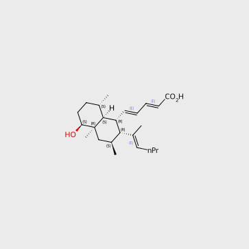 CCC/C=C(\C)[C@H]1[C@@H](/C=C/C=C/C(=O)O)[C@@H]2[C@@H](C)CC[C@H](O)[C@]2(C)C[C@@H]1C